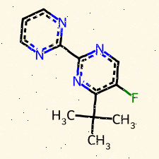 CC(C)(C)c1nc(-c2ncccn2)ncc1F